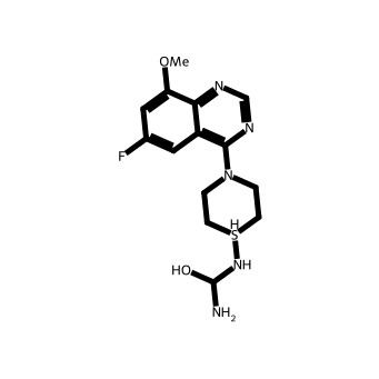 COc1cc(F)cc2c(N3CC[SH](NC(N)O)CC3)ncnc12